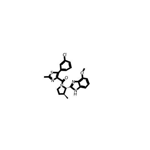 COc1cccc2[nH]c([C@@H]3[C@@H](C)CCN3C(=O)c3nc(C)sc3-c3cccc(Cl)c3)nc12